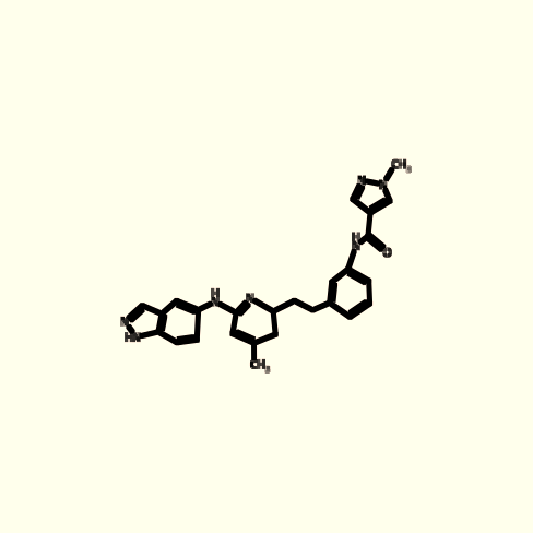 CC1=CC(Nc2ccc3[nH]ncc3c2)=NC(CCc2cccc(NC(=O)c3cnn(C)c3)c2)C1